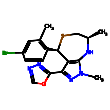 Cc1cc(Br)ccc1[C@H]1SC[C@@H](C)Nc2c1c(-c1nnco1)nn2C